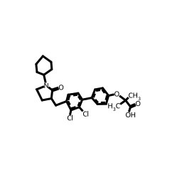 CC(C)(Oc1ccc(-c2ccc(CC3CCN(C4CCCCC4)C3=O)c(Cl)c2Cl)cc1)C(=O)O